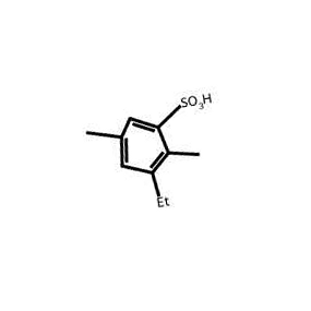 CCc1cc(C)cc(S(=O)(=O)O)c1C